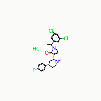 CC(c1cc(Cl)cc(Cl)c1)N1CC=C(C2CC(c3ccc(F)cc3)CCN2C)C1=O.Cl